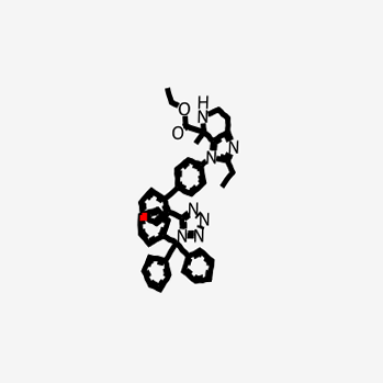 CCOC(=O)C1(C)NCCc2nc(CC)n(-c3ccc(-c4ccccc4-c4nnnn4C(c4ccccc4)(c4ccccc4)c4ccccc4)cc3)c21